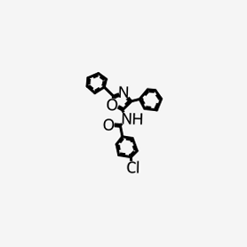 O=C(Nc1oc(-c2ccccc2)nc1-c1ccccc1)c1ccc(Cl)cc1